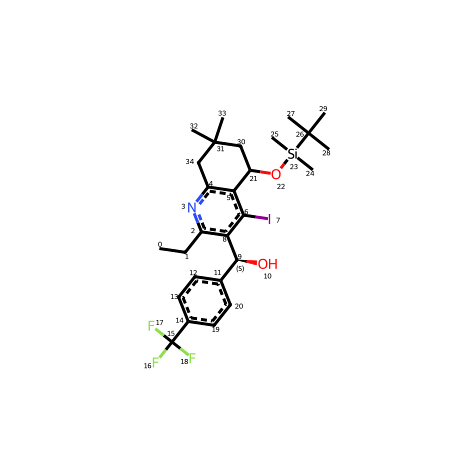 CCc1nc2c(c(I)c1[C@@H](O)c1ccc(C(F)(F)F)cc1)C(O[Si](C)(C)C(C)(C)C)CC(C)(C)C2